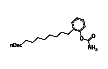 CCCCCCCCCCCCCCCCCCc1ccccc1OC(N)=O